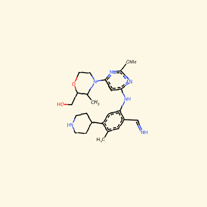 COc1nc(Nc2cc(C3CCNCC3)c(C)cc2C=N)cc(N2CCOC(CO)C2C)n1